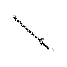 CCCCCCCC(=O)OCC(O)COCCOCCOCCOCCOCCOCCOCCOCCO